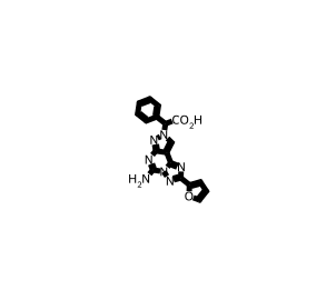 Nc1nc2nn(C(C(=O)O)c3ccccc3)cc2c2nc(-c3ccco3)nn12